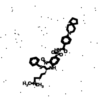 CN(C)CCCC[C@H](CSc1ccccc1)Nc1ccc(S(=O)(=O)NC(=O)c2ccc(N3CCC4(CCCC4)CC3)cc2)cc1N=O